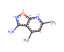 Cc1cc(C)c2c(N)noc2n1